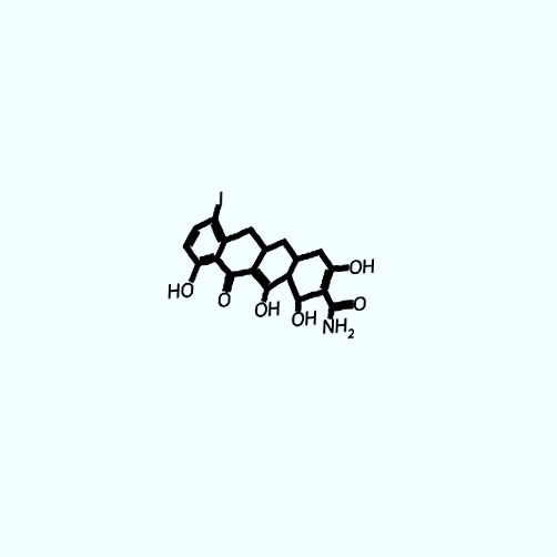 NC(=O)C1=C(O)CC2CC3Cc4c(I)ccc(O)c4C(=O)C3=C(O)C2C1O